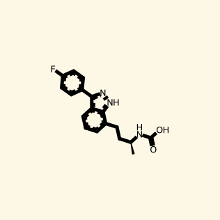 C[C@@H](CCc1cccc2c(-c3ccc(F)cc3)n[nH]c12)NC(=O)O